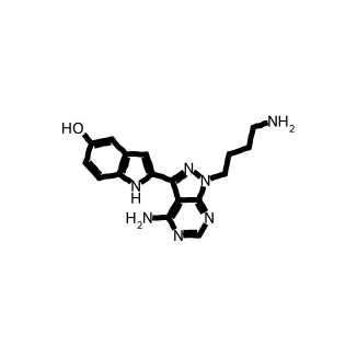 NCCCCn1nc(-c2cc3cc(O)ccc3[nH]2)c2c(N)ncnc21